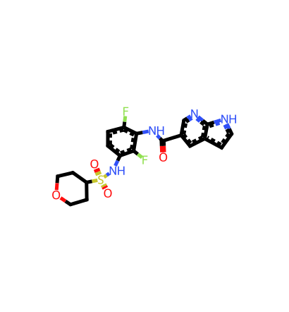 O=C(Nc1c(F)ccc(NS(=O)(=O)C2CCOCC2)c1F)c1cnc2[nH]ccc2c1